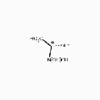 CC(C)[C@@H](C(=O)O)N(C)O